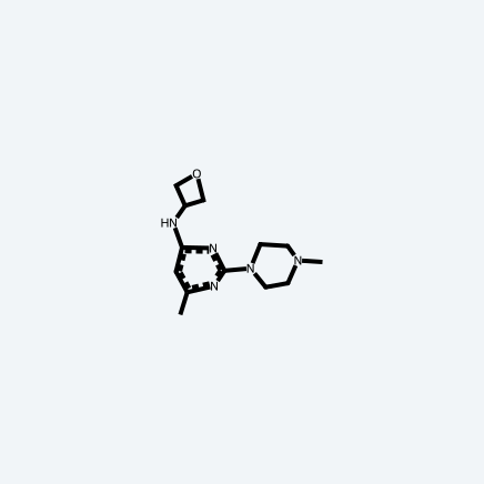 Cc1cc(NC2COC2)nc(N2CCN(C)CC2)n1